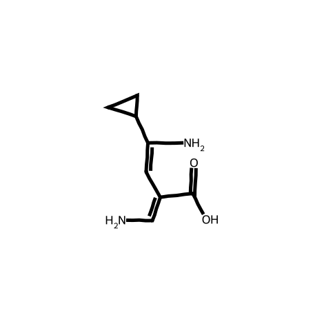 N/C=C(\C=C(/N)C1CC1)C(=O)O